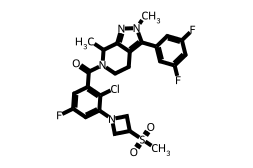 CC1c2nn(C)c(-c3cc(F)cc(F)c3)c2CCN1C(=O)c1cc(F)cc(N2CC(S(C)(=O)=O)C2)c1Cl